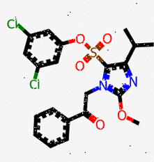 COc1nc(C(C)C)c(S(=O)(=O)Oc2cc(Cl)cc(Cl)c2)n1CC(=O)c1ccccc1